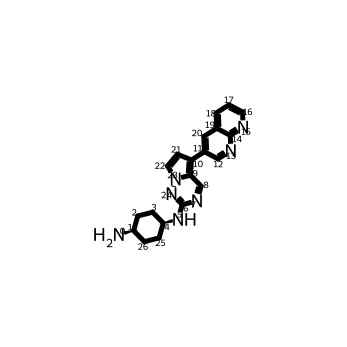 N[C@H]1CC[C@@H](Nc2ncc3c(-c4cnc5ncccc5c4)ccn3n2)CC1